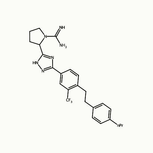 CCCc1ccc(CCc2ccc(-c3n[nH]c(C4CCCN4C(=N)N)n3)cc2C(F)(F)F)cc1